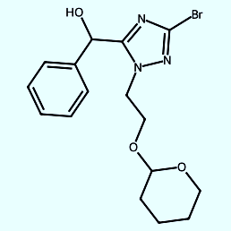 OC(c1ccccc1)c1nc(Br)nn1CCOC1CCCCO1